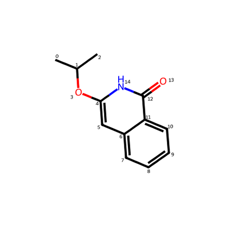 CC(C)Oc1cc2ccccc2c(=O)[nH]1